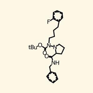 CC(C)(C)OC(=O)N(CCCCc1ccccc1F)N1CCCC1C(=O)NCc1ccccc1